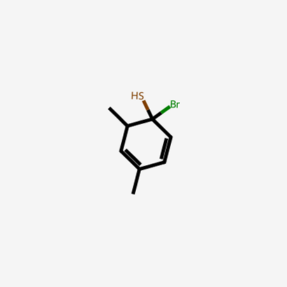 CC1=CC(C)C(S)(Br)C=C1